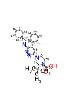 CC(C)(C)C1CN(c2ccc(N=C(c3ccccc3)c3ccccc3)nn2)CCN1C(=O)O